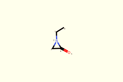 CCN1CC1=O